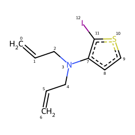 C=CCN(CC=C)c1ccsc1I